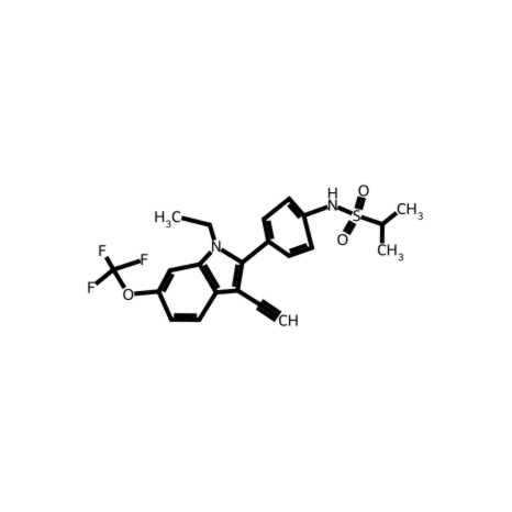 C#Cc1c(-c2ccc(NS(=O)(=O)C(C)C)cc2)n(CC)c2cc(OC(F)(F)F)ccc12